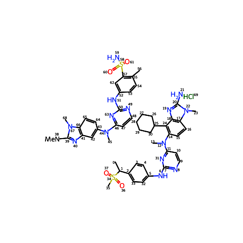 CC(c1ccc(Nc2nccc(N(C)c3ccc4c(nc(N)n4C)c3C3CCCCC3)n2)cc1)S(C)(=O)=O.CNc1nc2cc(N(C)c3ccnc(Nc4ccc(C)c(S(N)(=O)=O)c4)n3)ccc2n1C.Cl